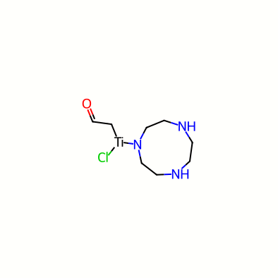 O=C[CH2][Ti]([Cl])[N]1CCNCCNCC1